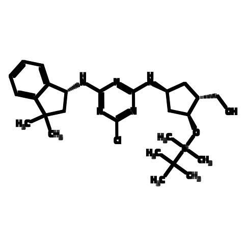 CC1(C)C[C@@H](Nc2nc(Cl)nc(N[C@H]3C[C@H](CO)[C@@H](O[Si](C)(C)C(C)(C)C)C3)n2)c2ccccc21